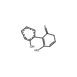 OC1=C(c2ccccc2O)C(=S)CC=C1